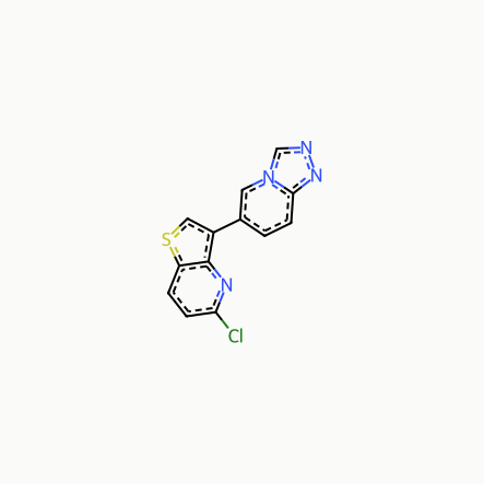 Clc1ccc2scc(-c3ccc4nncn4c3)c2n1